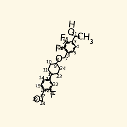 CC(O)c1ccc(COC2CCC(c3ccc(C4CO4)c(F)c3)CC2)c(F)c1F